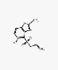 C=CCS(=O)(=O)c1c(Cl)ccc2sc(C)nc12